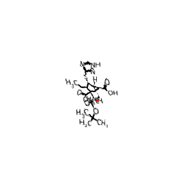 CCC1[C@@H](Sc2nc[nH]n2)[C@@H]2[C@@H](C(=O)O)[C@@]2(CC)[C@]1(NC(=O)OC(C)(C)C)C(=O)O